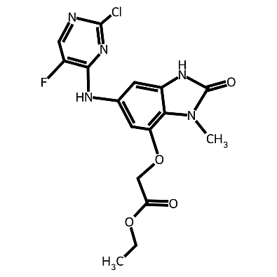 CCOC(=O)COc1cc(Nc2nc(Cl)ncc2F)cc2[nH]c(=O)n(C)c12